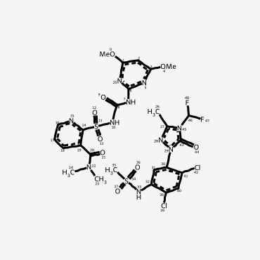 COc1cc(OC)nc(NC(=O)NS(=O)(=O)c2ncccc2C(=O)N(C)C)n1.Cc1nn(-c2cc(NS(C)(=O)=O)c(Cl)cc2Cl)c(=O)n1C(F)F